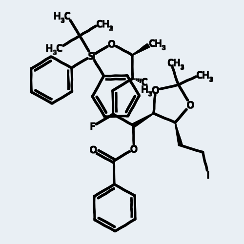 C[C@H](/C=C(/F)C(OC(=O)c1ccccc1)[C@H]1OC(C)(C)O[C@H]1CCI)[C@H](C)O[Si](c1ccccc1)(c1ccccc1)C(C)(C)C